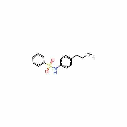 CCCc1ccc(NS(=O)(=O)c2ccccc2)cc1